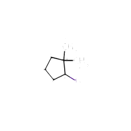 CC1(C)CCCC1I